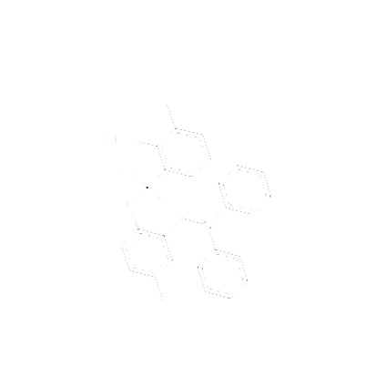 CCC(C)(Pc1ccc(C)cc1CN(c1ccccc1)c1ccccc1)c1cccc(C)c1O